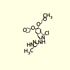 COCCOc1cc2c(Cl)nc(Nc3cc(C)[nH]n3)cc2cc1OC1CCOC1